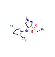 CC(C)CS(=O)(=O)c1nn(C)cc1Nc1nc(Cl)ncc1C(F)(F)F